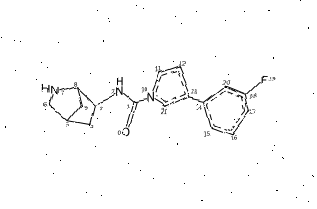 O=C(NC1CC2CNC1C2)n1ccc(-c2cccc(F)c2)c1